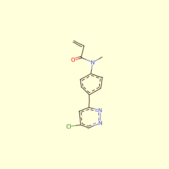 C=CC(=O)N(C)c1ccc(-c2cc(Cl)cnn2)cc1